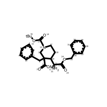 COC(=O)C1(Cc2ccccc2)CN(C(=O)OC(C)(C)C)CCC1C(N)C(=O)OCc1ccccc1